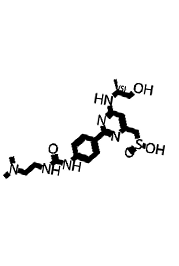 C[C@@H](CO)Nc1cc(CS(=O)O)nc(-c2ccc(NC(=O)NCCN(C)C)cc2)n1